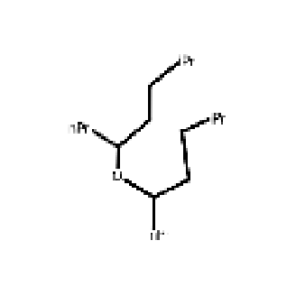 CCCC(CCC(C)C)OC(CCC)CCC(C)C